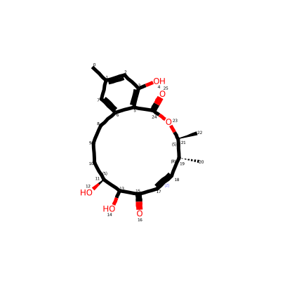 Cc1cc(O)c2c(c1)CCC[C@H](O)C(O)C(=O)/C=C\[C@@H](C)[C@H](C)OC2=O